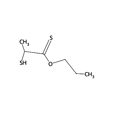 CCCOC(=S)C(C)S